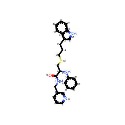 O=C(NCc1cccnc1)C(CSCCCc1c[nH]c2ccccc12)Nc1ccccc1